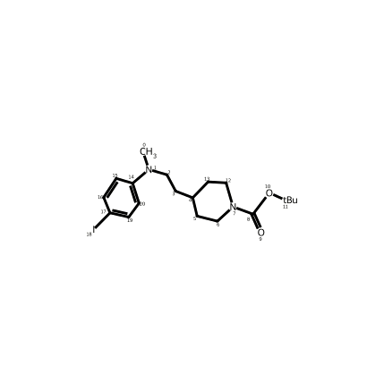 CN(CCC1CCN(C(=O)OC(C)(C)C)CC1)c1ccc(I)cc1